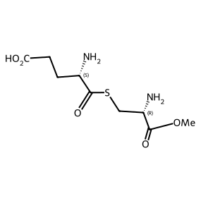 COC(=O)[C@@H](N)CSC(=O)[C@@H](N)CCC(=O)O